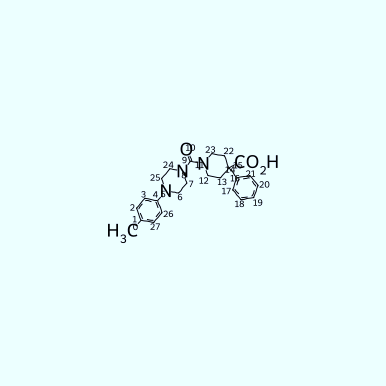 Cc1ccc(N2CCN(C(=O)N3CCC(C(=O)O)(c4ccccc4)CC3)CC2)cc1